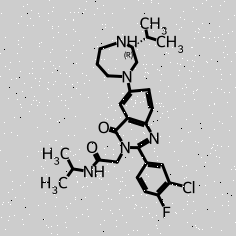 CC(C)NC(=O)Cn1c(-c2ccc(F)c(Cl)c2)nc2ccc(N3CCCN[C@H](C(C)C)C3)cc2c1=O